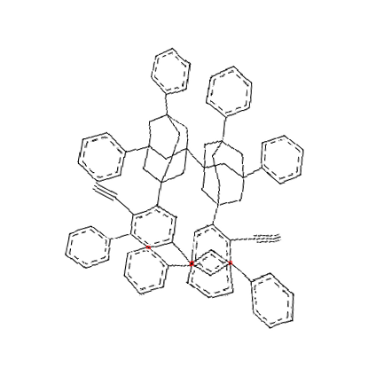 C#Cc1c(-c2ccccc2)cc(-c2ccccc2)cc1C12CC3(c4ccccc4)CC(c4ccccc4)(C1)CC(C14CC5(c6ccccc6)CC(c6ccccc6)(CC(c6cc(-c7ccccc7)cc(-c7ccccc7)c6C#C)(C5)C1)C4)(C3)C2